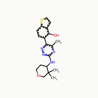 Cc1nc(NC2CCOCC2(C)C)nnc1-c1ccc2sccc2c1O